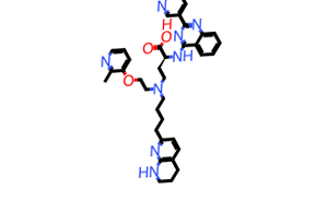 Cc1ncccc1OCCN(CCCCc1ccc2c(n1)NCCC2)CC[C@H](Nc1nc(-c2cccnc2)nc2ccccc12)C(=O)O